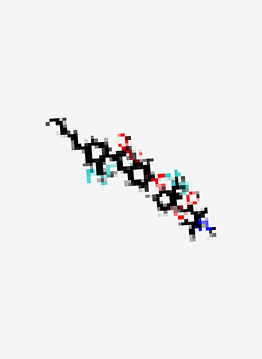 CCCCCc1ccc(-c2cc3ccc(OC4CCC(OC(=O)C5(C)N(C)C5(C)C)C4(C)C(F)(F)F)cc3oc2=O)c(C(F)(F)F)c1